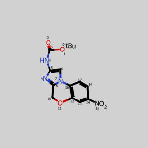 CC(C)(C)OC(=O)Nc1cn2c(n1)COc1cc([N+](=O)[O-])ccc1-2